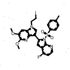 COc1cc2c(nc1OC)c(-c1cc3c(F)ccnc3n1S(=O)(=O)c1ccc(C)cc1)cn2CCI